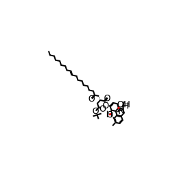 CCCCCCCC/C=C/CCCCCCCC(=O)C[C@@H](CC(=O)OC(C)(C)C)C(=O)OC1=CC[C@@]2(O)[C@H]3Cc4ccc(C)c5c4[C@@]2(CCN3C)[C@H]1O5